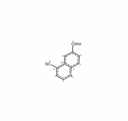 COc1ccc2nccc(C#N)c2c1